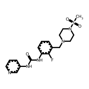 CS(=O)(=O)N1CCN(Cc2cccc(NC(=O)Nc3cccnc3)c2F)CC1